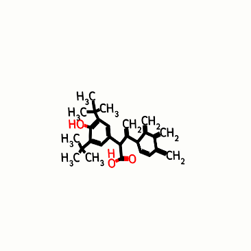 C=C1C=CC(C(=C)C(C(=O)O)c2cc(C(C)(C)C)c(O)c(C(C)(C)C)c2)C(=C)C1=C